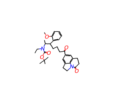 CCN(C(=O)OC(C)(C)C)C(C)C(CCCC(=O)c1cc2c3c(c1)CCN3C(=O)CC2)c1ccccc1OC